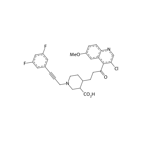 COc1ccc2ncc(Cl)c(C(=O)CCC3CCN(CC#Cc4cc(F)cc(F)c4)CC3C(=O)O)c2c1